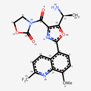 COc1ccc(-c2nc(C(=O)N3CCOC3=O)c([C@H](C)N)o2)c2ccc(C(F)(F)F)nc12